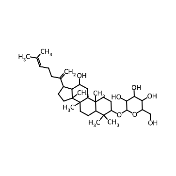 C=C(CCC=C(C)C)C1CCC2(C)C1C(O)CC1C3(C)CCC(OC4OC(CO)C(O)C(O)C4O)C(C)(C)C3CCC12C